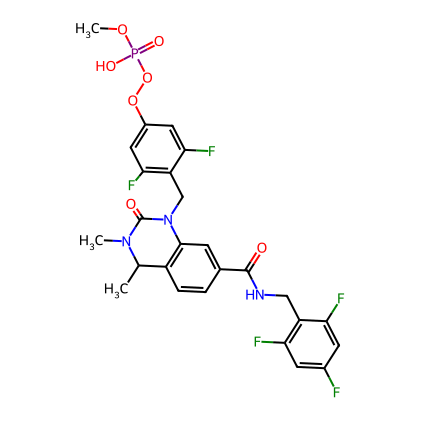 COP(=O)(O)OOc1cc(F)c(CN2C(=O)N(C)C(C)c3ccc(C(=O)NCc4c(F)cc(F)cc4F)cc32)c(F)c1